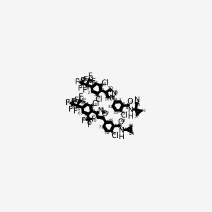 N#CC1(NC(=O)c2cc(-n3cc(-c4c(Cl)cc(C(F)(C(F)(F)F)C(F)(F)F)cc4Cl)cn3)ccc2Cl)CC1.O=C(NC1CC1)c1cc(-c2cc(-c3c(Cl)cc(C(F)(C(F)(F)F)C(F)(F)F)cc3C(F)(F)F)no2)ccc1Cl